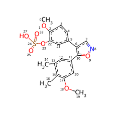 COc1ccc(-c2cnoc2-c2cc(C)c(C)c(OC)c2)cc1OS(=O)(=O)O